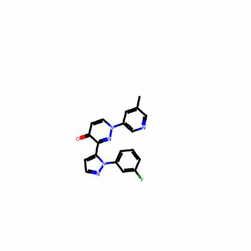 Cc1cncc(-n2ccc(=O)c(-c3ccnn3-c3cccc(F)c3)n2)c1